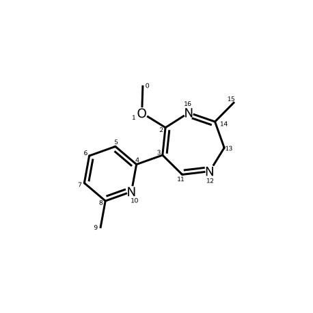 COC1=C(c2cccc(C)n2)C=NCC(C)=N1